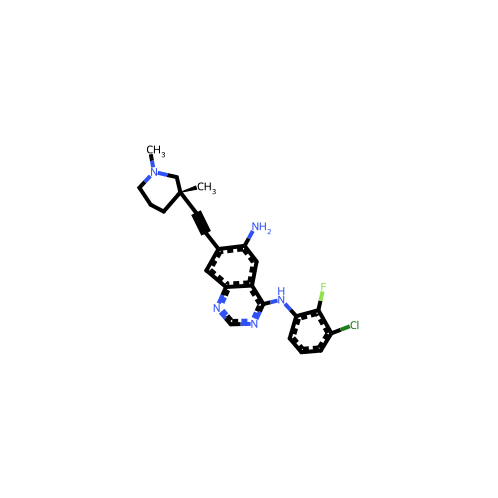 CN1CCC[C@@](C)(C#Cc2cc3ncnc(Nc4cccc(Cl)c4F)c3cc2N)C1